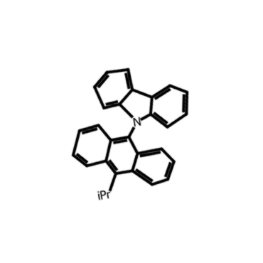 CC(C)c1c2ccccc2c(-n2c3ccccc3c3ccccc32)c2ccccc12